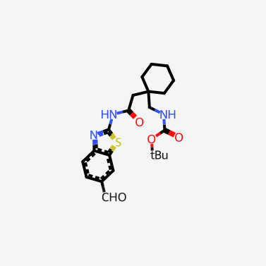 CC(C)(C)OC(=O)NCC1(CC(=O)Nc2nc3ccc(C=O)cc3s2)CCCCC1